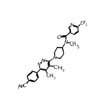 Cc1c(-c2ccc(C#N)cc2)nnc(N2CCC(N(C)C(=O)c3ccc(C(F)(F)F)nc3)CC2)c1C